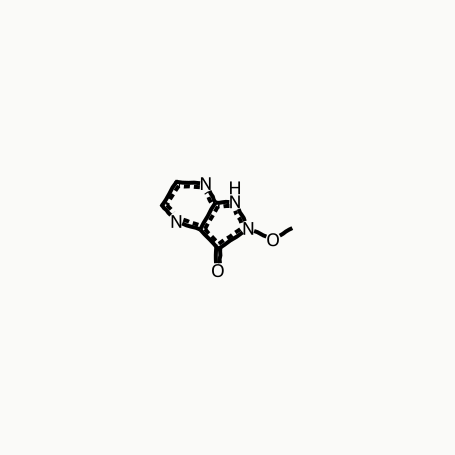 COn1[nH]c2nccnc2c1=O